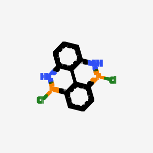 Clp1[nH]c2cccc3[nH]p(Cl)c4cccc1c4-c23